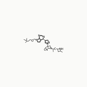 CC1CC(CC(C)N2CC(CC#N)(n3cc(-c4ncnc5c4ccn5COCCS(C)(C)C)cn3)C2)N1